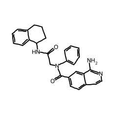 Nc1nccc2ccc(C(=O)N(CC(=O)NC3CCCc4ccccc43)c3ccccc3)cc12